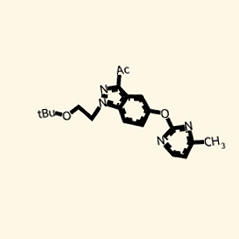 CC(=O)c1nn(CCOC(C)(C)C)c2ccc(Oc3nccc(C)n3)cc12